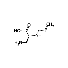 C=CCN[C@@H](CN)C(=O)O